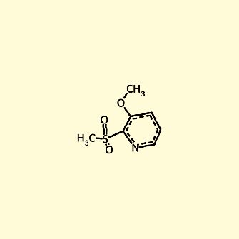 COc1cccnc1S(C)(=O)=O